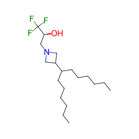 CCCCCCC(CCCCCC)C1CN(C[C@H](O)C(F)(F)F)C1